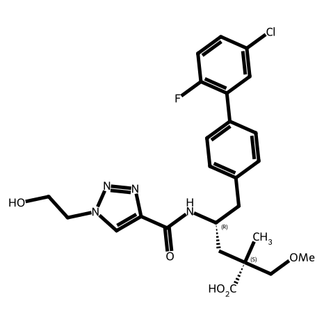 COC[C@](C)(C[C@@H](Cc1ccc(-c2cc(Cl)ccc2F)cc1)NC(=O)c1cn(CCO)nn1)C(=O)O